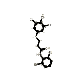 CCc1cccc(CC)c1NC(=O)CCSc1cc(Cl)c(O)c(Cl)c1